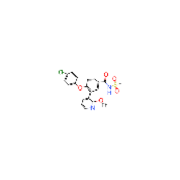 CCOc1ncccc1-c1cc(C(=O)NS(C)(=O)=O)ccc1Oc1ccc(Cl)cc1